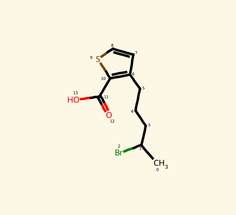 CC(Br)CCCc1ccsc1C(=O)O